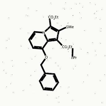 CCCC.CCOC(=O)c1c(SC)c(C(=O)OCC)n2cccc(OCc3ccccc3)c12